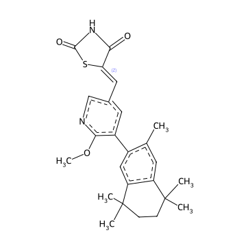 COc1ncc(/C=C2\SC(=O)NC2=O)cc1-c1cc2c(cc1C)C(C)(C)CCC2(C)C